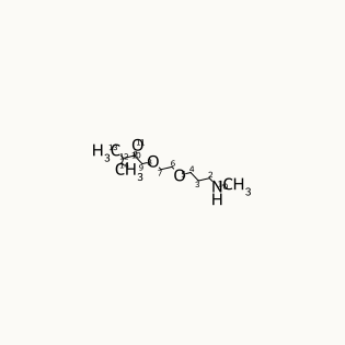 CNCCCOCCOCC(=O)C(C)C